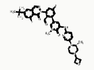 C[C@@H]1CN(C2COC2)CCN1c1ccc(Nc2cc(-c3cc(F)cc(-n4ncc5cc(C(C)(C)C)cc(F)c5c4=O)c3C=O)cn(C)c2=O)nc1